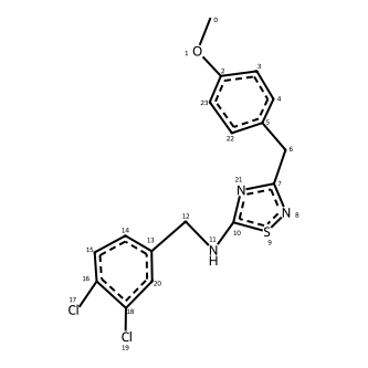 COc1ccc(Cc2nsc(NCc3ccc(Cl)c(Cl)c3)n2)cc1